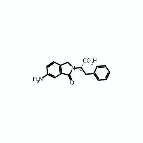 Nc1ccc2c(c1)C(=O)N([C@@H](Cc1ccccc1)C(=O)O)C2